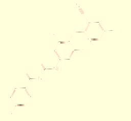 Cc1cnc(Oc2c(Cl)cc(NC(=S)NC(=O)c3ccc(Cl)cc3)cc2Cl)c(C#N)c1